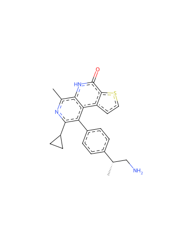 Cc1nc(C2CC2)c(-c2ccc([C@@H](C)CN)cc2)c2c1[nH]c(=O)c1sccc12